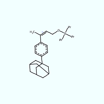 C/C(=C/CO[Si](C(C)C)(C(C)C)C(C)C)c1ccc(C23CC4CC(CC(C4)C2)C3)cc1